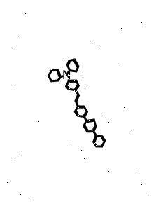 C1=CCC(N(C2=CCCCC2)c2ccc(/C=C/c3ccc(-c4ccc(C5=CCCC=C5)cc4)cc3)cc2)C=C1